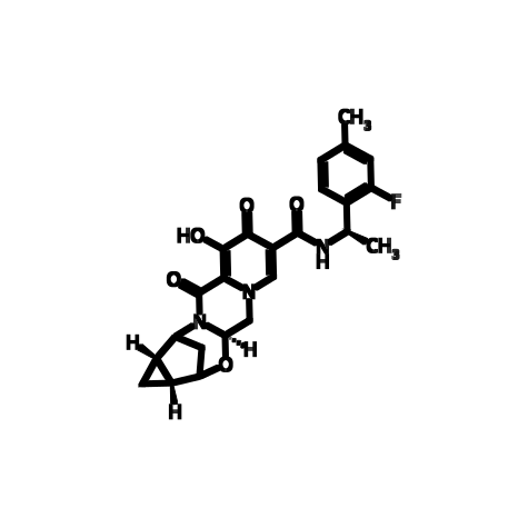 Cc1ccc([C@@H](C)NC(=O)c2cn3c(c(O)c2=O)C(=O)N2C4CC(O[C@@H]2C3)[C@@H]2C[C@H]42)c(F)c1